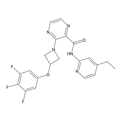 CCc1ccnc(NC(=O)c2nccnc2N2CC(Oc3cc(F)c(F)c(F)c3)C2)c1